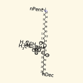 CCCCC/C=C\CCCCCCCCCCCCC(=O)O[C@H](COC(=O)CCCCCCCCCCCCCCCCC)COP(=O)(O)OCC[N+](C)(C)C